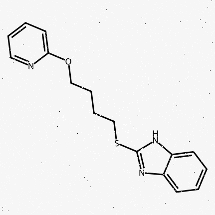 c1ccc(OCCCCSc2nc3ccccc3[nH]2)nc1